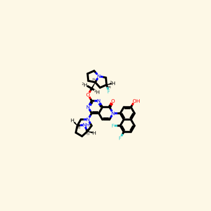 [2H]C([2H])(Oc1nc(N2C[C@H]3CC[C@@H](C2)N3)c2ccn(-c3cc(O)cc4ccc(F)c(F)c34)c(=O)c2n1)[C@@]12CCCN1C[C@]([2H])(F)C2